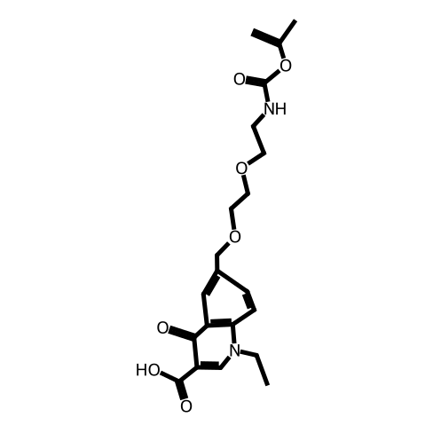 C=C(C)OC(=O)NCCOCCOCc1ccc2c(c1)c(=O)c(C(=O)O)cn2CC